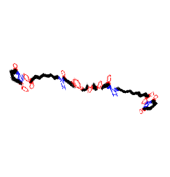 O=C(COCCOCCOCC(=O)NCCCCCCCC(=O)ON1C(=O)CCC1=O)NCCCCCCCC(=O)ON1C(=O)CCC1=O